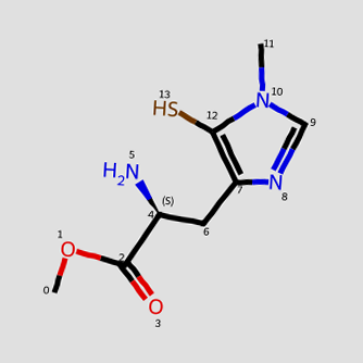 COC(=O)[C@@H](N)Cc1ncn(C)c1S